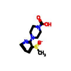 C[S@+]([O-])c1cccnc1N1CCN(C(=O)O)CC1